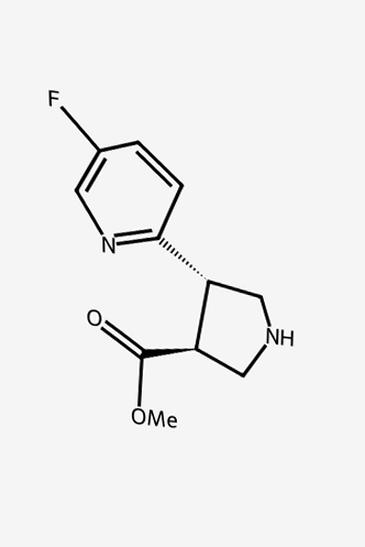 COC(=O)[C@@H]1CNC[C@H]1c1ccc(F)cn1